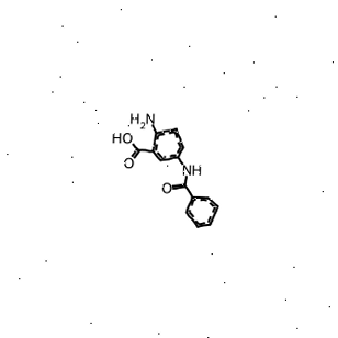 Nc1ccc(NC(=O)c2ccccc2)cc1C(=O)O